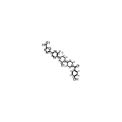 CCNc1nnc(-c2cnc(N3C[C@H](CC)N(C4CCN(C(=O)c5ccc(O)cc5)CC4)C[C@H]3C)c(C)n2)o1